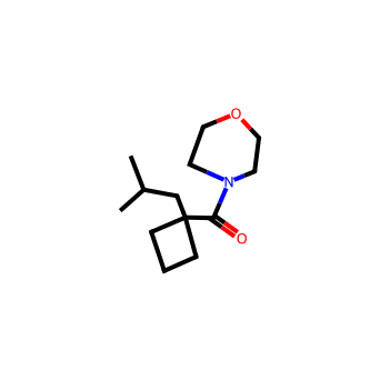 CC(C)CC1(C(=O)N2CCOCC2)CCC1